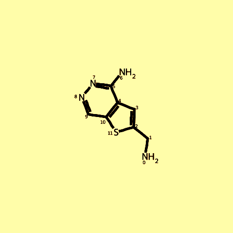 NCc1cc2c(N)nncc2s1